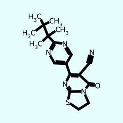 CC(C)(C)C(C)(C)c1ncc(-c2nc3n(c(=O)c2C#N)CCS3)cn1